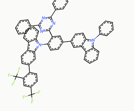 FC(F)(F)c1ccc(-c2ccc3c4ccccc4n(-c4ccc(-c5ccc6c(c5)c5ccccc5n6-c5ccccc5)cc4-c4nc(-c5ccccc5)nc(-c5ccccc5)n4)c3c2)c(C(F)(F)F)c1